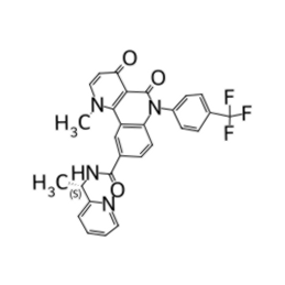 C[C@H](NC(=O)c1ccc2c(c1)c1c(c(=O)ccn1C)c(=O)n2-c1ccc(C(F)(F)F)cc1)c1ccccn1